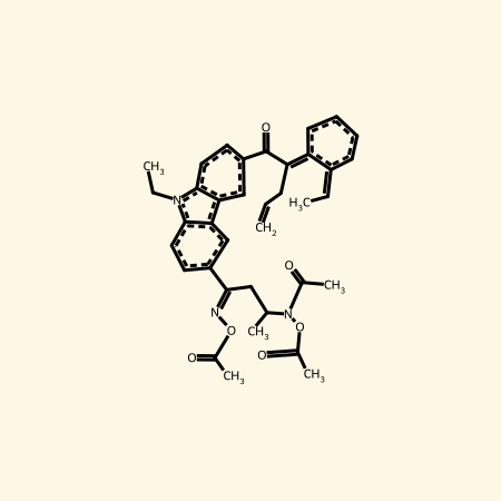 C=CC/C(C(=O)c1ccc2c(c1)c1cc(/C(CC(C)N(OC(C)=O)C(C)=O)=N/OC(C)=O)ccc1n2CC)=c1/cccc/c1=C/C